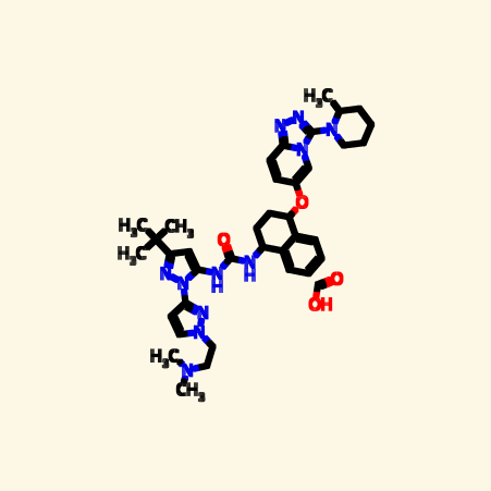 CC1CCCCN1c1nnc2ccc(OC3CCC(NC(=O)Nc4cc(C(C)(C)C)nn4-c4ccn(CCN(C)C)n4)c4ccccc43)cn12.O=CO